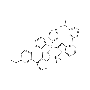 CC(C)c1cccc(-c2cccc3c2C=C2[CH]3[Hf]([CH3])([CH3])[CH]3C(=Cc4c(-c5cccc(C(C)C)c5)cccc43)[Si]2(c2ccccc2)c2ccccc2)c1